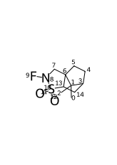 CC1(C)C2CCC13CN(F)S(=O)(=O)C3C2